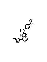 Cn1ccc(-c2nccn3nc(Nc4ccc([S+](C)[O-])cc4)nc23)c1